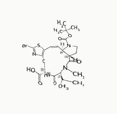 CC(C)[C@H]1C(=O)N[C@H](C(=O)O)Cc2nc(Br)sc2C=C[C@@H]2[C@H](CCN2C(=O)OC(C)(C)C)C(=O)N1C